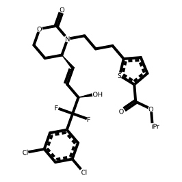 CC(C)OC(=O)c1ccc(CCCN2C(=O)OCC[C@@H]2/C=C/[C@@H](O)C(F)(F)c2cc(Cl)cc(Cl)c2)s1